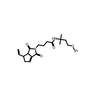 C=CC1CC=C2C(=O)N(CCCC(=O)NC(C)(C)CCOC(C)C)C(=O)C21